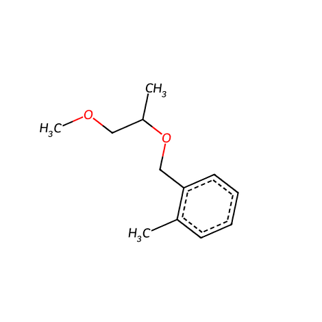 COCC(C)OCc1ccccc1C